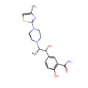 Cc1csc(N2CCN(C(C)C(O)c3ccc(O)c(C(N)=O)c3)CC2)n1